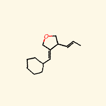 C/C=C/C1COC/C1=C\C1CCCCC1